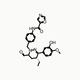 CC[C@@H]1CC(C=O)N(Cc2ccc(NC(=O)c3cnco3)cc2)N=C1c1ccc(OC)c(O)c1